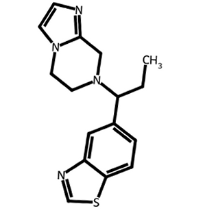 CCC(c1ccc2scnc2c1)N1CCn2ccnc2C1